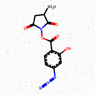 [N-]=[N+]=Nc1ccc(C(=O)ON2C(=O)CC(S(=O)(=O)O)C2=O)c(O)c1